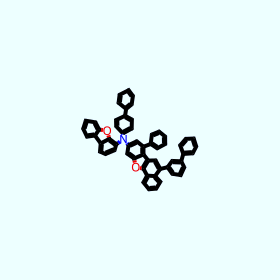 c1ccc(-c2ccc(N(c3cc(-c4ccccc4)c4c(c3)oc3c5ccccc5c(-c5cccc(-c6ccccc6)c5)cc34)c3cccc4c3oc3ccccc34)cc2)cc1